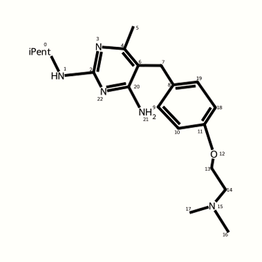 CCCC(C)Nc1nc(C)c(Cc2ccc(OCCN(C)C)cc2)c(N)n1